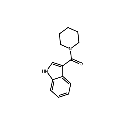 O=C(c1c[nH]c2ccccc12)N1C[CH]CCC1